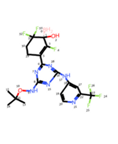 B[C@]1(O)C(F)=C(c2nc(NOC(C)(C)C)nc(Nc3ccnc(C(F)(F)F)c3)n2)CCC1(F)F